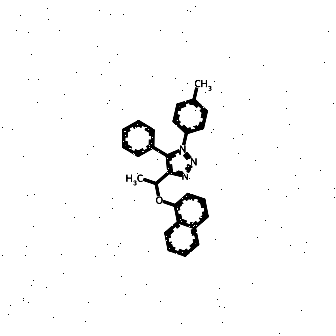 Cc1ccc(-n2nnc(C(C)Oc3cccc4ccccc34)c2-c2ccccc2)cc1